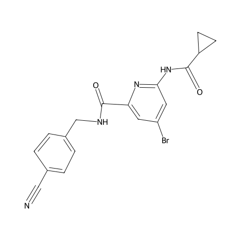 N#Cc1ccc(CNC(=O)c2cc(Br)cc(NC(=O)C3CC3)n2)cc1